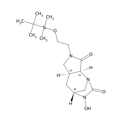 CC(C)(C)[Si](C)(C)OCCN1C[C@@H]2C[C@@H]3CN(C(=O)N3O)[C@@H]2C1=O